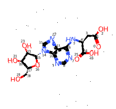 O=C(O)C[C@H](Nc1ncnc2c1ncn2[C@@H]1O[C@H](CO)[C@@H](O)[C@H]1O)C(=O)O